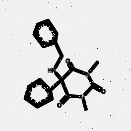 CN1C(=O)N(C)C(=O)C(NCc2ccccc2)(c2ccccc2)C1=O